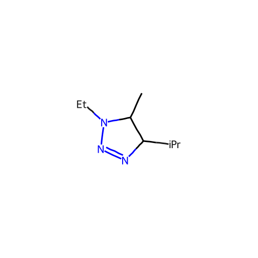 CCN1N=NC(C(C)C)C1C